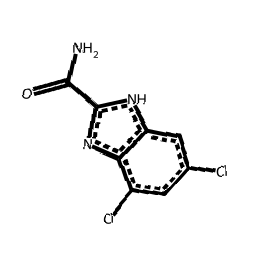 NC(=O)c1nc2c(Cl)cc(Cl)cc2[nH]1